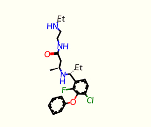 CCNCCNC(=O)C[C@H](C)N[C@H](CC)c1ccc(Cl)c(Oc2ccccc2)c1F